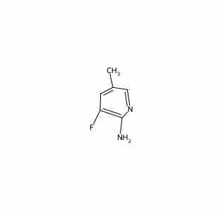 Cc1[c]nc(N)c(F)c1